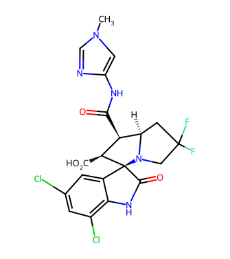 Cn1cnc(NC(=O)[C@H]2[C@H]3CC(F)(F)CN3[C@]3(C(=O)Nc4c(Cl)cc(Cl)cc43)[C@H]2C(=O)O)c1